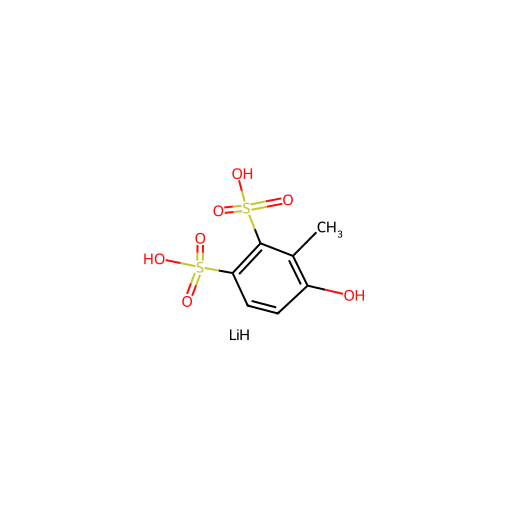 Cc1c(O)ccc(S(=O)(=O)O)c1S(=O)(=O)O.[LiH]